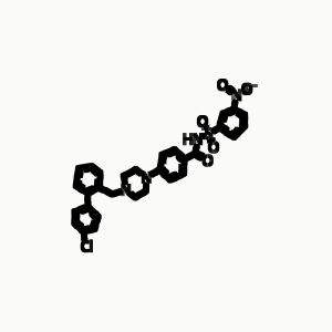 O=C(NS(=O)(=O)c1cccc([N+](=O)[O-])c1)c1ccc(N2CCN(Cc3ccccc3-c3ccc(Cl)cc3)CC2)cc1